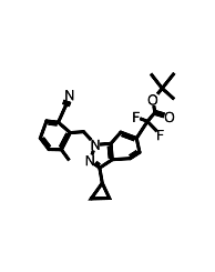 Cc1cccc(C#N)c1Cn1nc(C2CC2)c2ccc(C(F)(F)C(=O)OC(C)(C)C)cc21